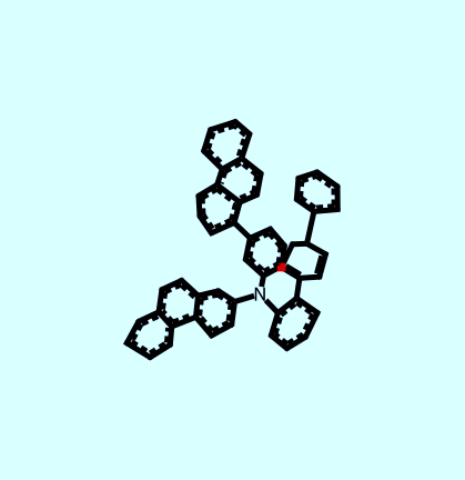 C1=CC(c2ccccc2)CC=C1c1ccccc1N(c1cccc(-c2cccc3c2ccc2ccccc23)c1)c1ccc2c(ccc3ccccc32)c1